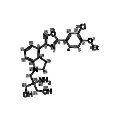 CCOc1ccc(-c2nc(-c3cccc4c3CCN4CC(N)(CO)CO)no2)cc1Cl